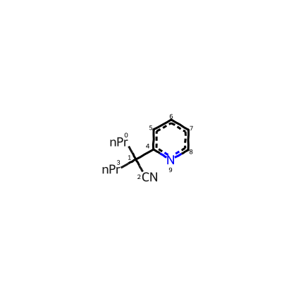 CCCC(C#N)(CCC)c1ccccn1